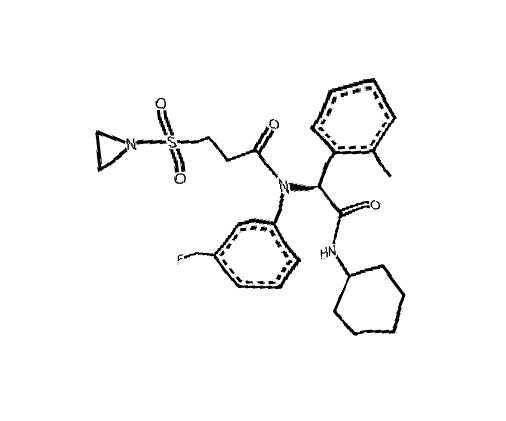 Cc1ccccc1[C@@H](C(=O)NC1CCCCC1)N(C(=O)CCS(=O)(=O)N1CC1)c1cccc(F)c1